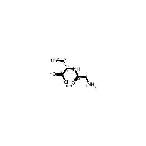 NCC(=O)N[C@@H](CS)C(=O)Cl